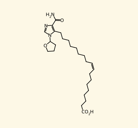 NC(=O)c1ncn(C2CCCO2)c1CCCCCCCC/C=C\CCCCCCCC(=O)O